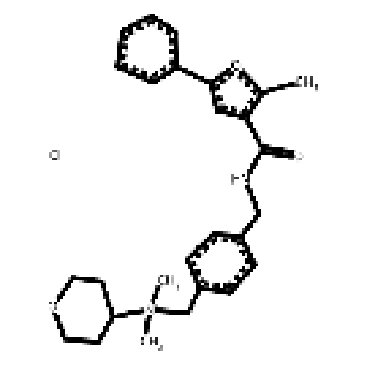 Cc1oc(-c2ccccc2)cc1C(=O)NCc1ccc(C[N+](C)(C)C2CCOCC2)cc1.[Cl-]